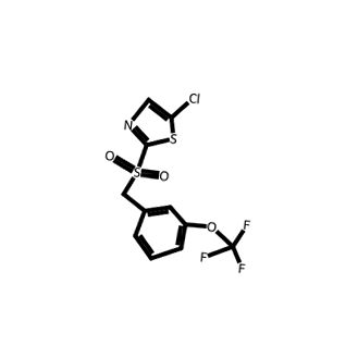 O=S(=O)(Cc1cccc(OC(F)(F)F)c1)c1ncc(Cl)s1